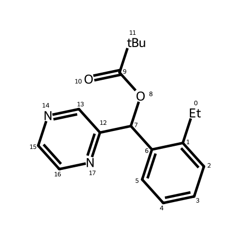 CCc1ccccc1C(OC(=O)C(C)(C)C)c1cnccn1